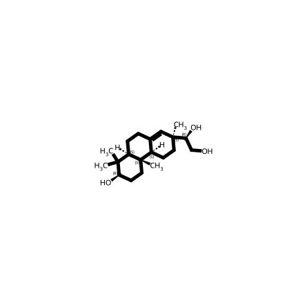 CC1(C)[C@H](O)CC[C@@]2(C)[C@@H]3CC[C@](C)([C@@H](O)CO)C=C3CC[C@H]12